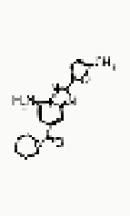 Cc1ccc(-c2nc3cc(C(=O)N4CCCCC4)cc(N)n3n2)o1